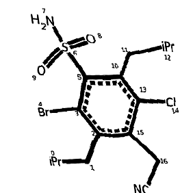 CC(C)Cc1c(Br)c(S(N)(=O)=O)c(CC(C)C)c(Cl)c1CC#N